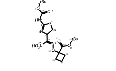 CC(C)(C)OC(=O)NC1=NC(/C(=N/OC2(C(=O)OC(C)(C)C)CCC2)C(=O)O)CS1